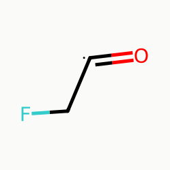 O=[C]CF